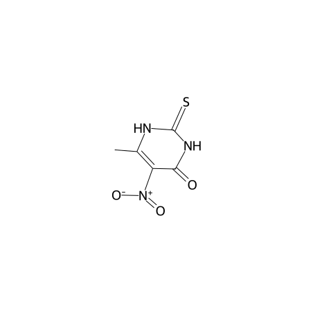 Cc1[nH]c(=S)[nH]c(=O)c1[N+](=O)[O-]